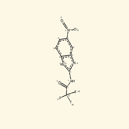 O=C(Nc1nc2cc([N+](=O)[O-])ccc2[nH]1)C(F)(F)F